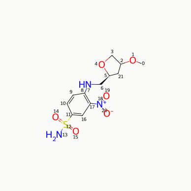 COC1CO[C@H](CNc2ccc(S(N)(=O)=O)cc2[N+](=O)[O-])C1